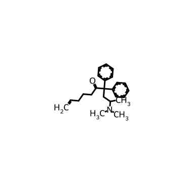 C=CCCCC(=O)C(CC(C)N(C)C)(c1ccccc1)c1ccccc1